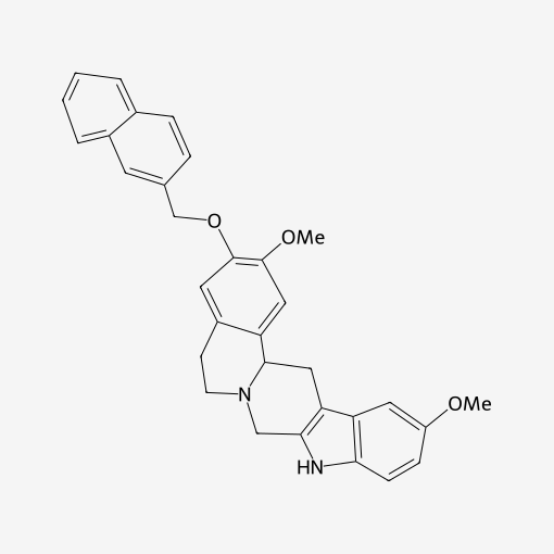 COc1ccc2[nH]c3c(c2c1)CC1c2cc(OC)c(OCc4ccc5ccccc5c4)cc2CCN1C3